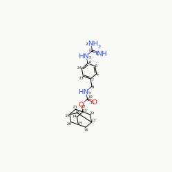 N=C(N)Nc1ccc(CNC(=O)OC23CC4CC(CC(C4)C2)C3)cc1